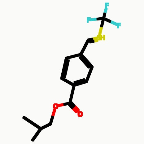 CC(C)COC(=O)c1ccc(C=[SH]C(F)(F)F)cc1